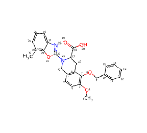 COc1ccc2c(c1OCc1ccccc1)CC(C(=O)O)N(c1nc3cccc(C)c3o1)C2